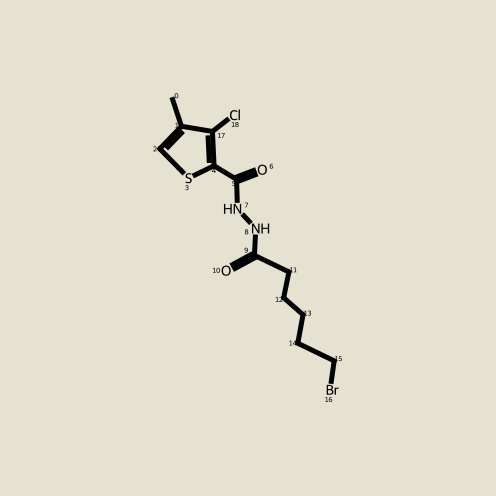 Cc1csc(C(=O)NNC(=O)CCCCCBr)c1Cl